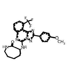 COc1ccc(-c2nc3c4c(C(F)(F)F)cccc4nc(N[C@@H]4CCCCNC4=O)n3n2)cc1